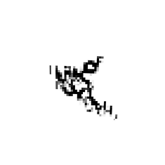 CCc1nc2ccc(-c3cnc(CC(=O)NC)nc3)cn2c1N(C)c1nc(-c2ccc(F)cc2)c(C#N)s1